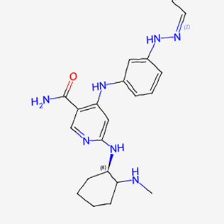 CNC1CCCC[C@H]1Nc1cc(Nc2cccc(N/N=C\C=N)c2)c(C(N)=O)cn1